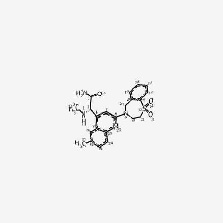 CN[C@H](C(N)=O)c1cc(N2CCS(=O)(=O)c3ccccc3C2)nc2ccc(C)cc12